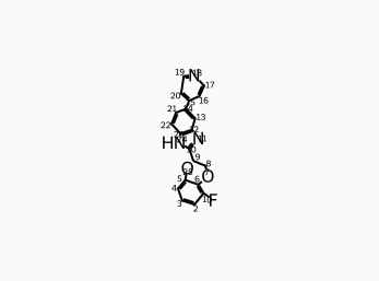 Fc1cccc2c1OCC(c1nc3cc(-c4ccncc4)ccc3[nH]1)O2